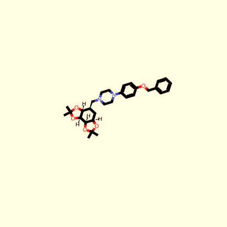 CC1(C)O[C@H]2[C@@H](O1)[C@@H](CN1CCN(c3ccc(OCc4ccccc4)cc3)CC1)C[C@H]1OC(C)(C)O[C@@H]21